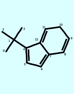 CC(C)(C)C1=CC=C2C=CCC=C21